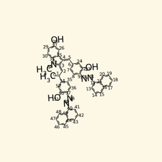 CC(/C=c1/c(=C\c2ccc(/N=N/c3cccc4ccccc34)c(O)c2)c2cc(O)ccc2n1C)c1ccc(/N=N/c2cccc3ccccc23)c(O)c1